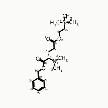 CN(C)[C@@H](CCC(=O)OCC[Si](C)(C)C)C(=O)OCc1ccccc1